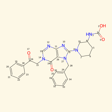 O=C(O)NC1CCCN(c2nc3ncn(CC(=O)c4ccccc4)c(=O)c3n2Cc2ccccc2)C1